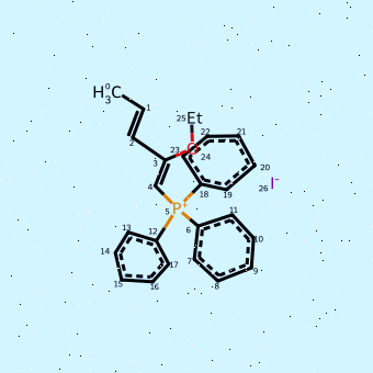 CC=CC(=C[P+](c1ccccc1)(c1ccccc1)c1ccccc1)OCC.[I-]